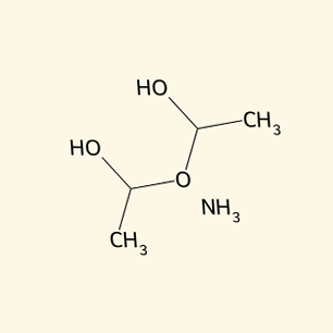 CC(O)OC(C)O.N